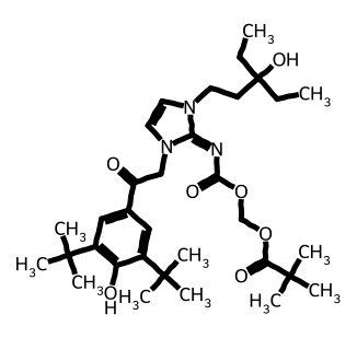 CCC(O)(CC)CCn1ccn(CC(=O)c2cc(C(C)(C)C)c(O)c(C(C)(C)C)c2)c1=NC(=O)OCOC(=O)C(C)(C)C